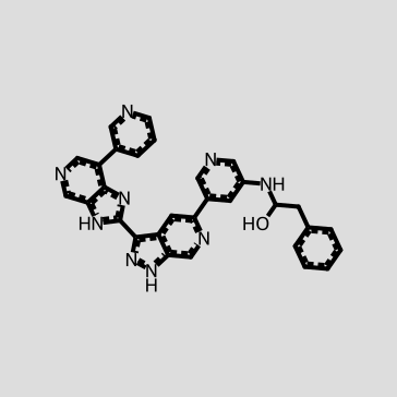 OC(Cc1ccccc1)Nc1cncc(-c2cc3c(-c4nc5c(-c6cccnc6)cncc5[nH]4)n[nH]c3cn2)c1